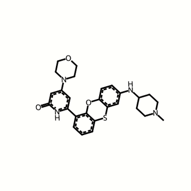 CN1CCC(Nc2ccc3c(c2)Sc2cccc(-c4cc(N5CCOCC5)cc(=O)[nH]4)c2O3)CC1